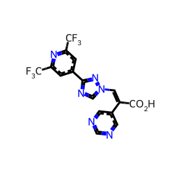 O=C(O)/C(=C/n1cnc(-c2cc(C(F)(F)F)nc(C(F)(F)F)c2)n1)c1cncnc1